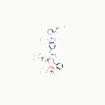 Cc1nc2c(s1)CC[C@@H]2c1nc2ccc(CC3CC[C@H]([C@H](O[Si](C)(C)C(C)(C)C)c4ccccc4)N3C(=O)OC(C)(C)C)cc2n1C